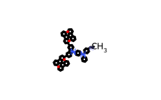 C/C=C/c1ccc(N(c2ccccc2)c2ccc(-n3c4ccc(-c5ccc6c(c5)C5(c7ccccc7-c7ccccc75)c5ccccc5-6)cc4c4cc(-c5ccc6c(c5)C5(c7ccccc7-c7ccccc75)c5ccccc5-6)ccc43)cc2)cc1